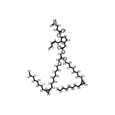 CC/C=C\CC1C(CC(=O)OCC(COCCCCCCCCC2CC2CCCCCCCC)OCCCCCCCCC2CC2CCCCCCCC)CCC1OC(=O)CCN(C)C